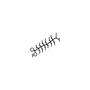 O=C(OI)C(I)(I)C(I)(I)C(I)(I)C(I)(I)C(I)(I)C(I)(I)C(I)I